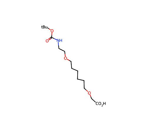 CC(C)(C)OC(=O)NCCOCCCCCCOCC(=O)O